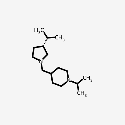 CC(C)[C@H]1CCN(CC2CCN(C(C)C)CC2)C1